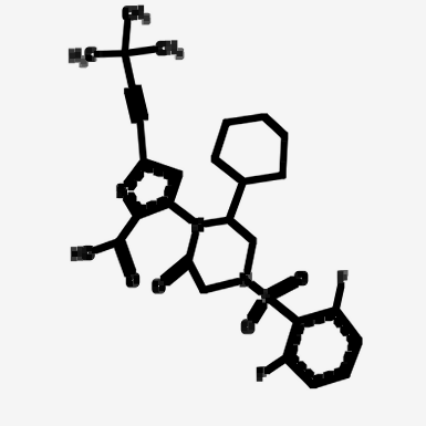 CC(C)(C)C#Cc1cc(N2C(=O)CN(S(=O)(=O)c3c(F)cccc3F)CC2C2CCCCC2)c(C(=O)O)s1